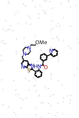 COCCN1CCN(Cc2cnc3sc(-c4ccccc4NC(=O)c4cccc(-c5ccccn5)c4)nc3c2)CC1